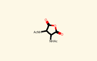 CC(=O)NC1C(=O)OC(=O)C1NC(C)=O